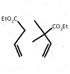 C=CC(C)(C)C(=O)OCC.C=CCC(=O)OCC